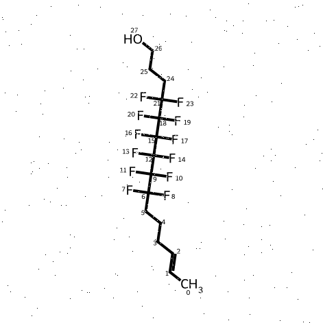 C/C=C/CCCC(F)(F)C(F)(F)C(F)(F)C(F)(F)C(F)(F)C(F)(F)CCCO